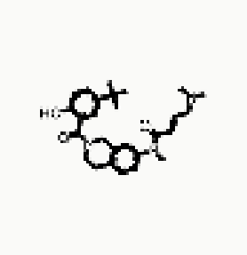 CN(C)C/C=C/C(=O)N(C)c1ccc2c(c1)CN(C(=O)c1cc(C(C)(C)C)ccc1O)CC2